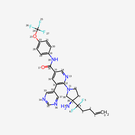 C=CCCC(F)(F)[C@@]1(N)CCN(c2ncc(C(=O)Nc3ccc(OC(F)(F)F)cc3)cc2-c2cncnc2)C1